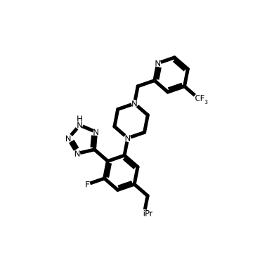 CC(C)Cc1cc(F)c(-c2nn[nH]n2)c(N2CCN(Cc3cc(C(F)(F)F)ccn3)CC2)c1